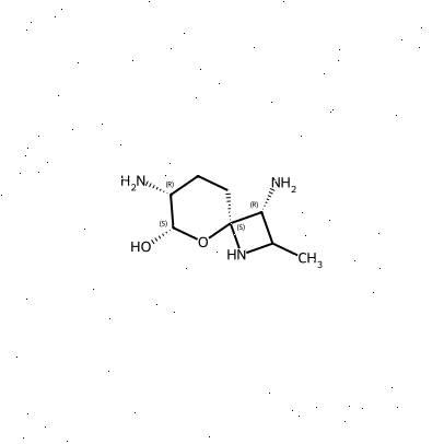 CC1N[C@]2(CC[C@@H](N)[C@@H](O)O2)[C@@H]1N